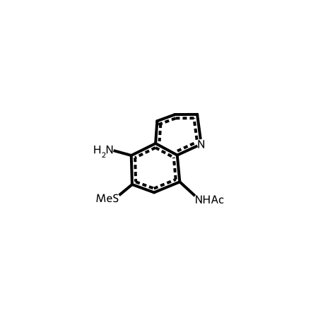 CSc1cc(NC(C)=O)c2ncccc2c1N